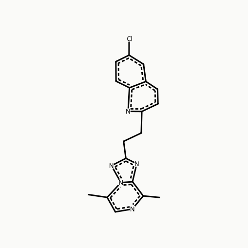 Cc1ncc(C)n2nc(CCc3ccc4cc(Cl)ccc4n3)nc12